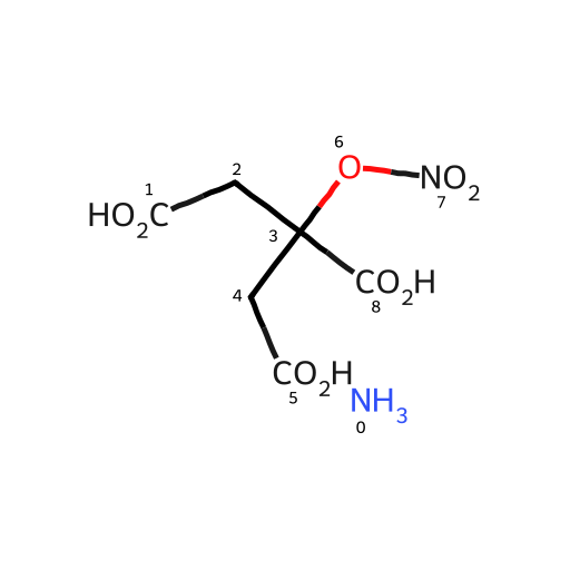 N.O=C(O)CC(CC(=O)O)(O[N+](=O)[O-])C(=O)O